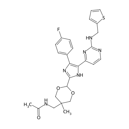 CC(=O)NCC1(C)COC(c2nc(-c3ccc(F)cc3)c(-c3ccnc(NCc4cccs4)n3)[nH]2)OC1